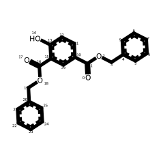 O=C(OCc1ccccc1)c1ccc(O)c(C(=O)OCc2ccccc2)c1